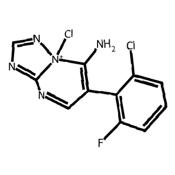 NC1=C(c2c(F)cccc2Cl)C=NC2=NC=N[N+]21Cl